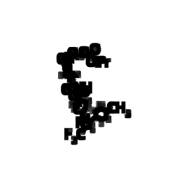 Cc1ccc(-c2cc(C(F)(F)F)nn2-c2ccc(S(=O)(=O)NC(=O)C3CN(n4on4OCOC(=O)OC(C)C)C3)cc2)cc1